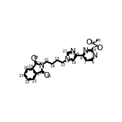 CS(=O)(=O)c1nccc(-c2cn(CCCCN3C(=O)c4ccccc4C3=O)cn2)n1